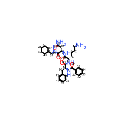 NCCCC[C@H](NC(=O)[C@H](Cc1ccccc1)NC(=O)c1ccccc1)C(=O)N[C@@H](CC(N)=O)C(=O)NCC1CCCCC1